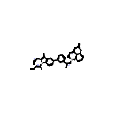 C=C1C/C(=C/C(=C)N/C=C(/C)c2cccc(-c3ccc4c(c3)c(C)c(/C=C\C)n4/C(C)=C/CC)c2)c2c(C)cccc2C1